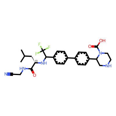 CC(C)C[C@H](NC(c1ccc(-c2ccc(C3CNCCN3C(=O)O)cc2)cc1)C(F)(F)F)C(=O)NCC#N